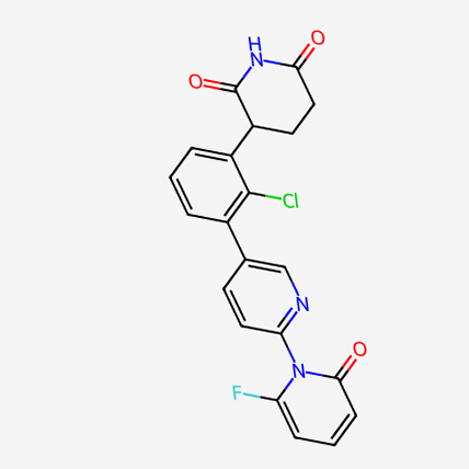 O=C1CCC(c2cccc(-c3ccc(-n4c(F)cccc4=O)nc3)c2Cl)C(=O)N1